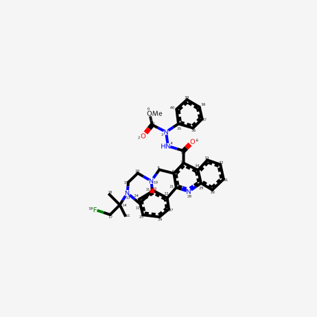 COC(=O)N(NC(=O)c1c(CN2CCN(C(C)(C)CF)CC2)c(-c2ccccc2)nc2ccccc12)c1ccccc1